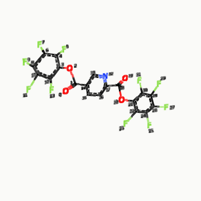 O=C(Oc1c(F)c(F)c(F)c(F)c1F)c1ccc(C(=O)Oc2c(F)c(F)c(F)c(F)c2F)nc1